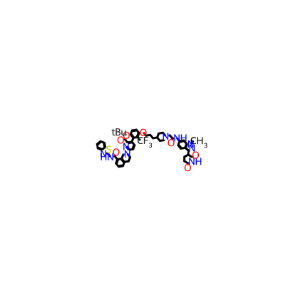 Cn1nc(C2CCC(=O)NC2=O)c2ccc(NC(=O)CN3CCC(CCCOc4cccc(-c5ccc(N6CCc7cccc(C(=O)Nc8nc9ccccc9s8)c7C6)nc5C(=O)OC(C)(C)C)c4C(F)(F)F)CC3)cc21